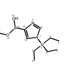 CC[Si](CC)(CC)n1cnc(B(O)OC)c1